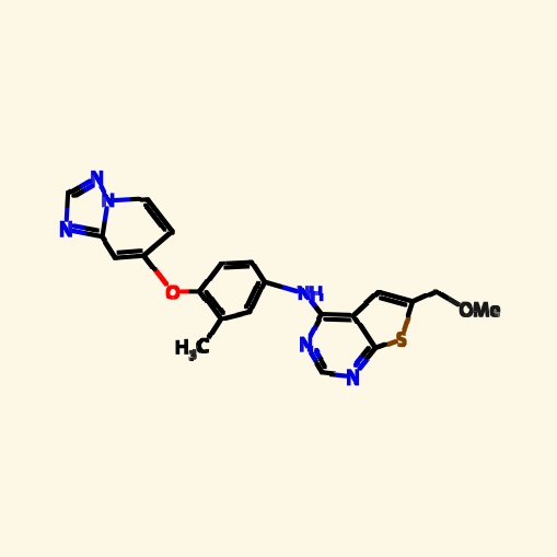 COCc1cc2c(Nc3ccc(Oc4ccn5ncnc5c4)c(C)c3)ncnc2s1